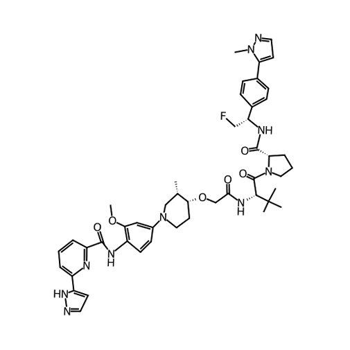 COc1cc(N2CC[C@@H](OCC(=O)N[C@H](C(=O)N3CCC[C@H]3C(=O)N[C@H](CF)c3ccc(-c4ccnn4C)cc3)C(C)(C)C)[C@@H](C)C2)ccc1NC(=O)c1cccc(-c2ccn[nH]2)n1